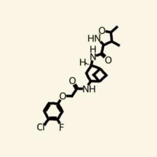 CC1ONC(C(=O)N[C@@H]2CC(NC(=O)COc3ccc(Cl)c(F)c3)C3CC2C3)C1C